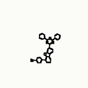 Brc1ccc(-c2cccc3c2oc2cc(-c4nc(-c5ccccc5)nc(-c5ccccc5)n4)ccc23)cc1